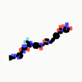 O=C1CCC(N2C[C@H](c3ccc(C#CCN4CCO[C@@H](CNC(=O)c5ccc(-n6cc(NC(=O)c7coc(-c8ccnc(NCC9CC9)c8)n7)c(C(F)F)n6)cc5)C4)cc3)OC2=O)C(=O)N1